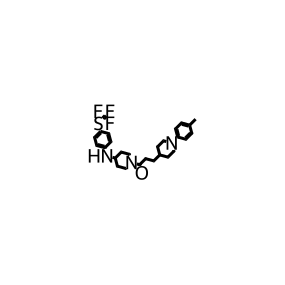 Cc1ccc(N2CCC(CCC(=O)N3CCC(Nc4ccc(SC(F)(F)F)cc4)CC3)CC2)cc1